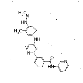 C=NNc1ccc(Nc2ccnc(-c3cccc(C(=O)Nc4cccnc4)c3)n2)cc1C